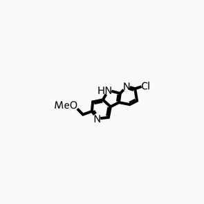 COCc1cc2[nH]c3nc(Cl)ccc3c2cn1